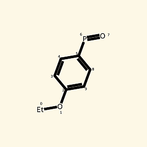 CCOc1ccc(P=O)cc1